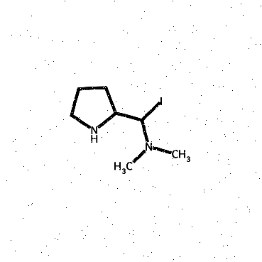 CN(C)C(I)C1CCCN1